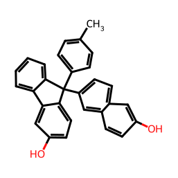 Cc1ccc(C2(c3ccc4cc(O)ccc4c3)c3ccccc3-c3cc(O)ccc32)cc1